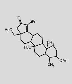 CC(=O)OCC12CCC3C(CCC4C3(C)CCC3C(C)C(OC(C)=O)CCC34C)C1=C(C(C)C)C(=O)C2